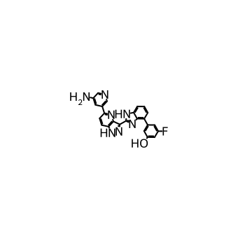 Nc1cncc(-c2ccc3[nH]nc(-c4nc5c(-c6cc(O)cc(F)c6)cccc5[nH]4)c3n2)c1